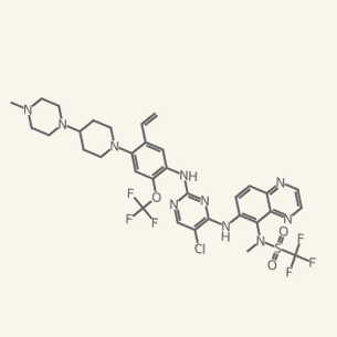 C=Cc1cc(Nc2ncc(Cl)c(Nc3ccc4nccnc4c3N(C)S(=O)(=O)C(F)(F)F)n2)c(OC(F)(F)F)cc1N1CCC(N2CCN(C)CC2)CC1